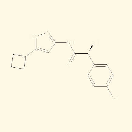 C[C@H](C(=O)Nc1cc(C2CCC2)[nH]n1)c1ccc(N)cc1